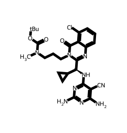 CN(CCCn1c([C@@H](Nc2nc(N)nc(N)c2C#N)C2CC2)nc2cccc(Cl)c2c1=O)C(=O)OC(C)(C)C